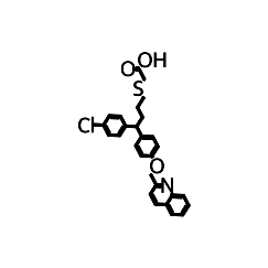 O=C(O)CSCCCC(c1ccc(Cl)cc1)c1ccc(OCc2ccc3ccccc3n2)cc1